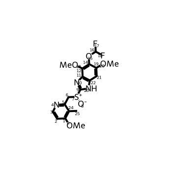 COc1ccnc(C[S+]([O-])c2nc3c(OC)c(OC(F)F)c(OC)cc3[nH]2)c1C